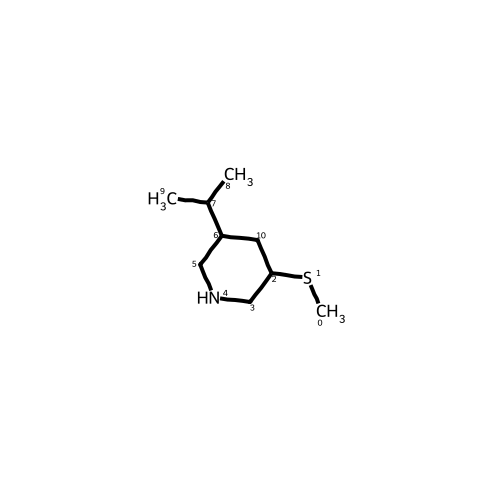 CSC1CNCC(C(C)C)C1